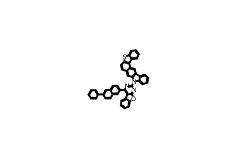 c1ccc(-c2ccc3cc(-c4nc(-n5c6ccccc6c6cc7c(ccc8sc9ccccc9c87)cc65)nc5oc6ccccc6c45)ccc3c2)cc1